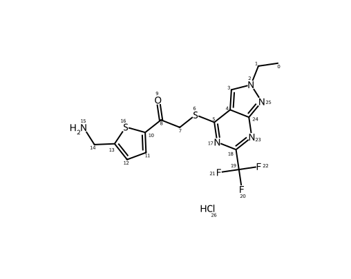 CCn1cc2c(SCC(=O)c3ccc(CN)s3)nc(C(F)(F)F)nc2n1.Cl